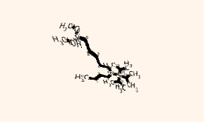 CCCCN(CCCCC[SiH](OC)OC)[Si](C(C)C)(C(C)C)C(C)C